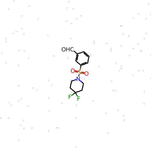 O=Cc1cccc(S(=O)(=O)N2CCC(F)(F)CC2)c1